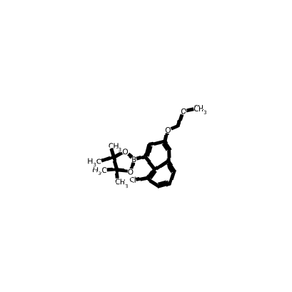 COCOc1cc(B2OC(C)(C)C(C)(C)O2)c2c(Cl)cccc2c1